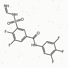 N=CNS(=O)(=O)c1cc(C(=O)Nc2cc(F)c(F)c(F)c2)cc(F)c1F